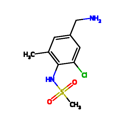 Cc1cc(CN)cc(Cl)c1NS(C)(=O)=O